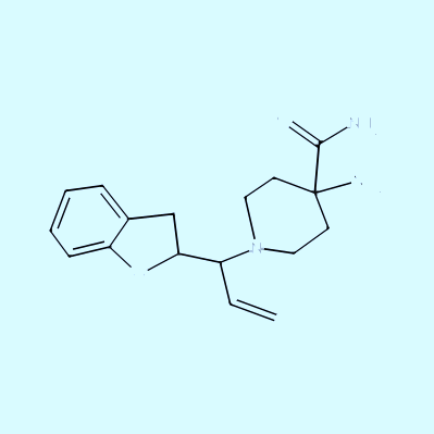 C=CC(C1Cc2ccccc2O1)N1CCC(N)(C(N)=O)CC1